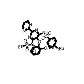 CCON(c1nc(-c2ncccn2)nc(NS(=O)(=O)c2ccc(C(C)(C)C)cc2)c1Oc1ccccc1OC)S(=O)(=O)CC